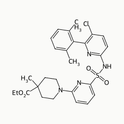 CCOC(=O)C1(C)CCN(c2cccc(S(=O)(=O)Nc3ccc(Cl)c(-c4c(C)cccc4C)n3)n2)CC1